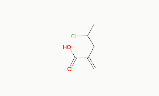 C=C(CC(C)Cl)C(=O)O